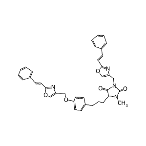 CN1C(=O)N(Cc2coc(/C=C/c3ccccc3)n2)C(=O)C1CCCc1ccc(OCc2coc(/C=C/c3ccccc3)n2)cc1